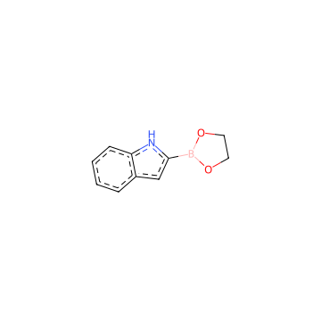 c1ccc2[nH]c(B3OCCO3)cc2c1